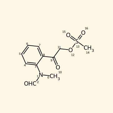 CN(C=O)c1ccccc1C(=O)COS(C)(=O)=O